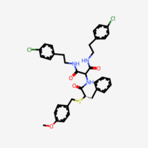 COc1ccc(CS[C@@H](Cc2ccccc2)C(=O)NC(C(=O)NCCc2ccc(Cl)cc2)C(=O)NCCc2ccc(Cl)cc2)cc1